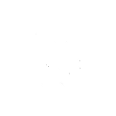 COc1ccccc1Cn1c2ccccc2c2ccc(C(=O)O)cc21